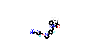 Cn1cc(-c2cc(F)c(COc3cccc(-c4cc(F)c(Cc5nc6ccc(C(=O)O)cc6n5[C@@H]5COCC5(C)C)cc4F)n3)cn2)nn1